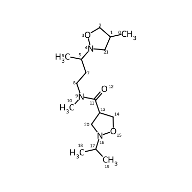 CC1CON(C(C)CCN(C)C(=O)C2CON(C(C)C)C2)C1